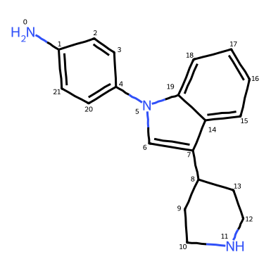 Nc1ccc(-n2cc(C3CCNCC3)c3ccccc32)cc1